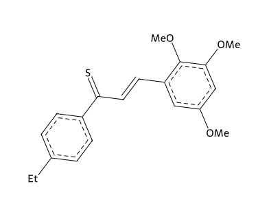 CCc1ccc(C(=S)C=Cc2cc(OC)cc(OC)c2OC)cc1